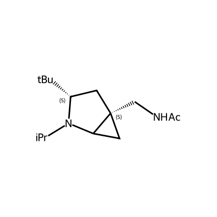 CC(=O)NC[C@]12CC1N(C(C)C)[C@H](C(C)(C)C)C2